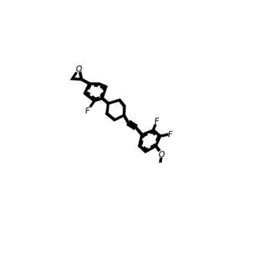 COc1ccc(C#CC2CCC(c3ccc(C4CO4)cc3F)CC2)c(F)c1F